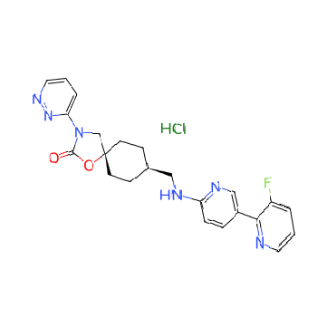 Cl.O=C1O[C@]2(CC[C@H](CNc3ccc(-c4ncccc4F)cn3)CC2)CN1c1cccnn1